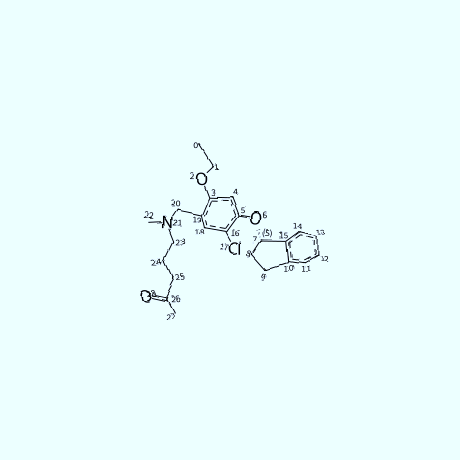 CCOc1cc(O[C@H]2CCc3ccccc32)c(Cl)cc1CN(C)CCCC(C)=O